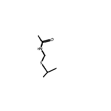 C[C](C)SCNC(C)=O